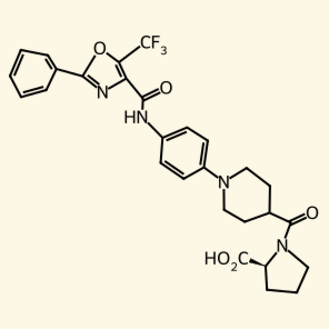 O=C(Nc1ccc(N2CCC(C(=O)N3CCC[C@H]3C(=O)O)CC2)cc1)c1nc(-c2ccccc2)oc1C(F)(F)F